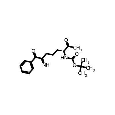 CC(=O)[C@H](CCCC(=N)C(=O)c1ccccc1)NC(=O)OC(C)(C)C